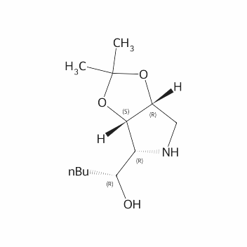 CCCC[C@@H](O)[C@H]1NC[C@H]2OC(C)(C)O[C@@H]12